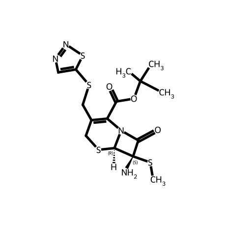 CS[C@@]1(N)C(=O)N2C(C(=O)OC(C)(C)C)=C(CSc3cnns3)CS[C@@H]21